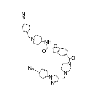 N#Cc1ccc(CN2CCC(NC(=O)c3cc4cc(C(=O)N5CCN(Cc6cnn(-c7ccc(C#N)cc7)c6)CC5)ccc4o3)CC2)cc1